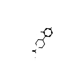 CC(C)(C)OC(=O)N1CCC(c2ccc(Cl)cc2C(=O)O)CC1